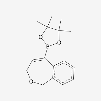 CC1(C)OB(C2=CCOCc3ccccc32)OC1(C)C